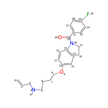 C=CCN(C)CCCCOc1ccc2c(c1)CCN2C(=O)c1ccc(F)cc1